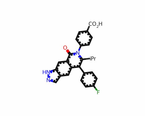 CC(C)c1c(-c2ccc(F)cc2)c2cc3cn[nH]c3cc2c(=O)n1-c1ccc(C(=O)O)cc1